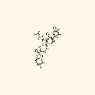 Cc1ccc(CS(=O)(=O)N2CCN(c3cnn(-c4cccc(Cl)c4)c(=O)c3OCC3(C)CC3)CC2)cc1